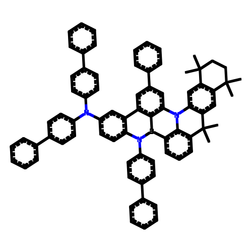 CC1(C)CCC(C)(C)c2cc3c(cc21)N1c2cc(-c4ccccc4)cc4c2B(c2cccc(c21)C3(C)C)N(c1ccc(-c2ccccc2)cc1)c1ccc(N(c2ccc(-c3ccccc3)cc2)c2ccc(-c3ccccc3)cc2)cc1-4